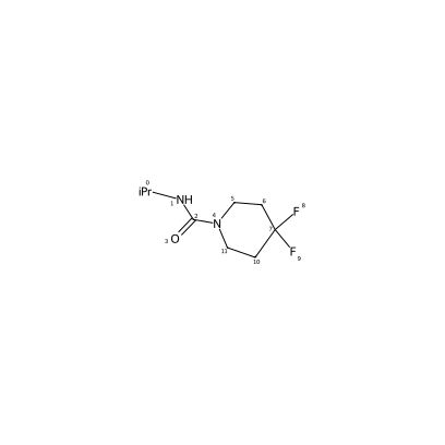 CC(C)NC(=O)N1CCC(F)(F)CC1